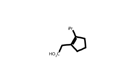 CC(C)C1=C(CC(=O)O)CCC1